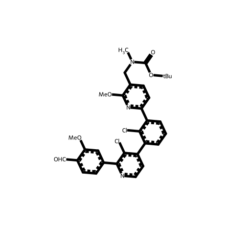 COc1cc(-c2nccc(-c3cccc(-c4ccc(CN(C)C(=O)OC(C)(C)C)c(OC)n4)c3Cl)c2Cl)ccc1C=O